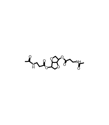 CC(=O)NCCC(=O)OC1COC2C(OC(=O)CCNC(C)=O)COC12